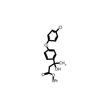 CCCOC(=O)CC(C)(O)c1ccc(Oc2ccc(Cl)cc2)cc1